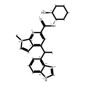 CC(c1cc(C(=O)N[C@H]2CCCC[C@@H]2O)nc2c1ccn2C)c1cccc2[nH]cnc12